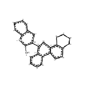 Oc1nc2ccccc2cc1-c1cc2c3c(ccc2c2ccccc12)CCCC3